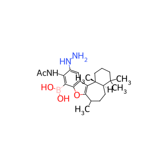 CC(=O)Nc1c(NN)cc2c3c(oc2c1B(O)O)C(C)CC[C@@H]1C(C)(C)CCC[C@@]31C